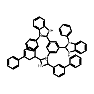 C1=CC(C2NC(c3cccc(-c4ccccc4)c3)N2c2cc(C3Nc4ccccc4N3c3ccccc3)cc(C3Nc4ccccc4N3c3ccccc3)c2)CC(c2ccccc2)=C1